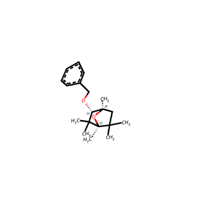 CC1(C)C[C@@]2(C)O[C@]1(C)C(C)(C)[C@@H]2OCc1ccccc1